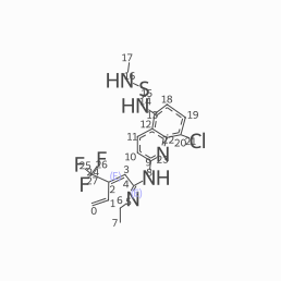 C=C/C(=C\C(=N/CC)Nc1ccc2c(NSNC)ccc(Cl)c2n1)C(F)(F)F